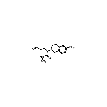 CNC(=O)C(CCC=O)N1CCc2cc(N)ccc2C1